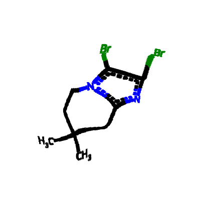 CC1(C)CCn2c(nc(Br)c2Br)C1